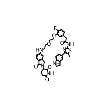 Cc1sc(NC(=O)Cc2ccc(F)c(OCCOCCNc3ccc4c(c3)CN(C3CCC(=O)NC3=O)C4=O)c2)nc1-c1ccc2c(c1)CCN2